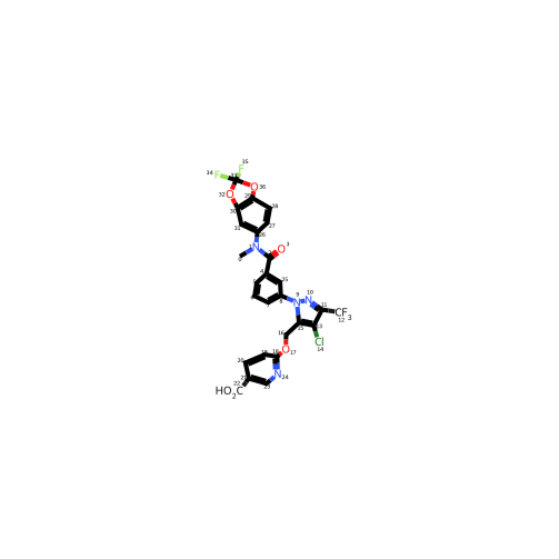 CN(C(=O)c1cccc(-n2nc(C(F)(F)F)c(Cl)c2COc2ccc(C(=O)O)cn2)c1)c1ccc2c(c1)OC(F)(F)O2